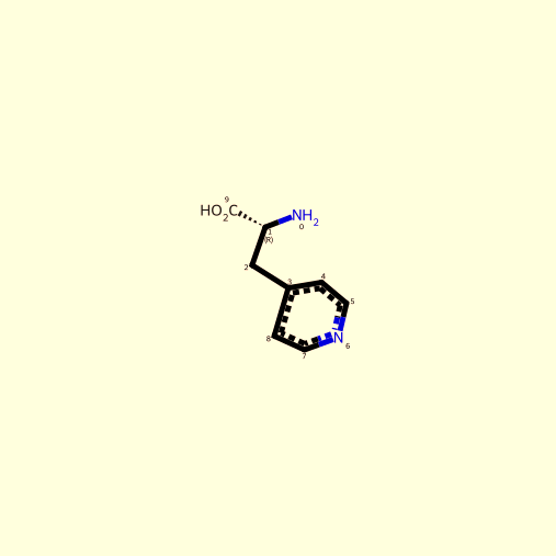 N[C@H](Cc1ccncc1)C(=O)O